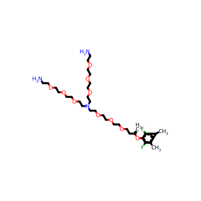 C=C(CCOCCOCCOCCN(CCOCCOCCOCCN)CCOCCOCCOCCN)Oc1c(F)c(C)c2c(c1F)C2C